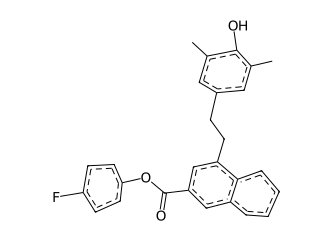 Cc1cc(CCc2cc(C(=O)Oc3ccc(F)cc3)cc3ccccc23)cc(C)c1O